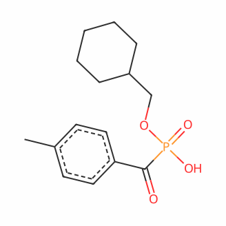 Cc1ccc(C(=O)P(=O)(O)OCC2CCCCC2)cc1